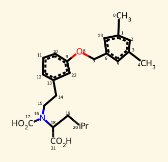 Cc1cc(C)cc(COc2cccc(CCN(C(=O)O)C(CC(C)C)C(=O)O)c2)c1